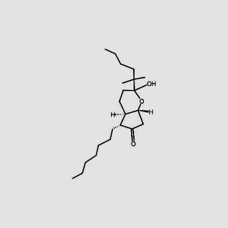 CCCCCCC[C@H]1C(=O)C[C@H]2OC(O)(C(C)(C)CCCC)CC[C@@H]21